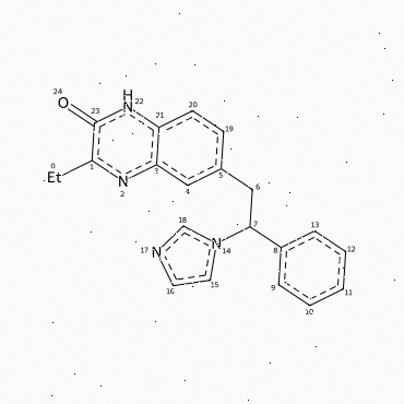 CCc1nc2cc(CC(c3ccccc3)n3ccnc3)ccc2[nH]c1=O